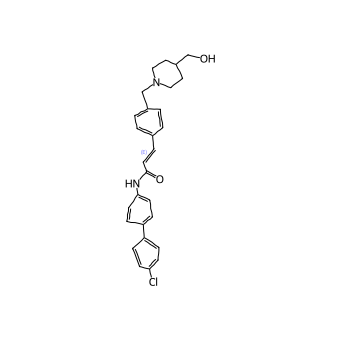 O=C(/C=C/c1ccc(CN2CCC(CO)CC2)cc1)Nc1ccc(-c2ccc(Cl)cc2)cc1